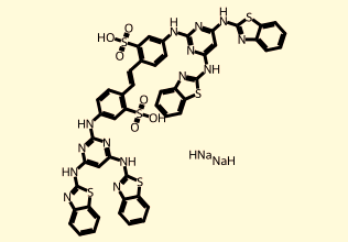 O=S(=O)(O)c1cc(Nc2nc(Nc3nc4ccccc4s3)cc(Nc3nc4ccccc4s3)n2)ccc1C=Cc1ccc(Nc2nc(Nc3nc4ccccc4s3)cc(Nc3nc4ccccc4s3)n2)cc1S(=O)(=O)O.[NaH].[NaH]